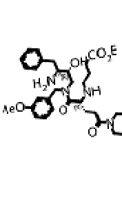 CCOC(=O)CCCN[C@H](CCC(=O)N1CCCCC1)C(=O)N(Cc1cccc(OC)c1)C[C@@H](O)[C@@H](N)Cc1ccccc1